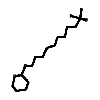 FC(F)(F)CCCCCCCCCOC1CCCCO1